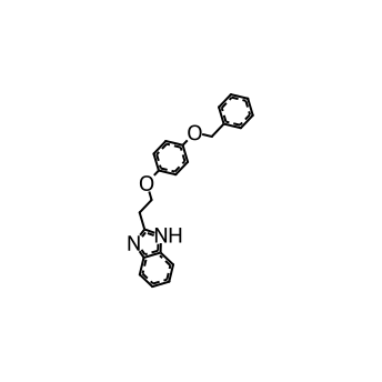 c1ccc(COc2ccc(OCCc3nc4ccccc4[nH]3)cc2)cc1